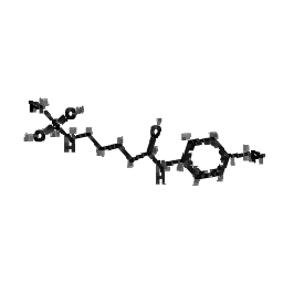 CCCc1ccc(NC(=O)CCCCNS(=O)(=O)C(C)C)cc1